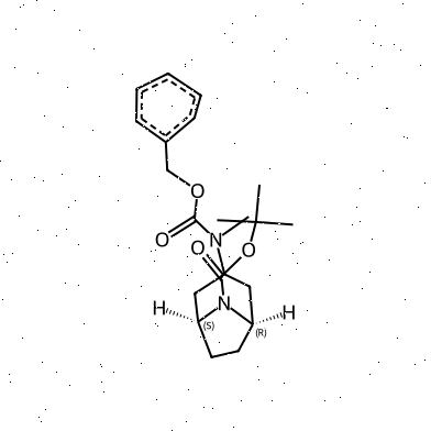 CN(C(=O)OCc1ccccc1)C1C[C@H]2CC[C@@H](C1)N2C(=O)OC(C)(C)C